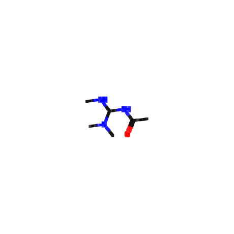 CNC(NC(C)=O)N(C)C